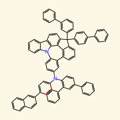 c1ccc(-c2ccc(C3(c4cccc(-c5ccccc5)c4)c4cccc5c4-c4c3ccc3c6ccccc6n(c43)-c3ccc(N(c4ccc(-c6ccc7ccccc7c6)cc4)c4ccc(-c6ccccc6)cc4-c4ccccc4)cc3-5)cc2)cc1